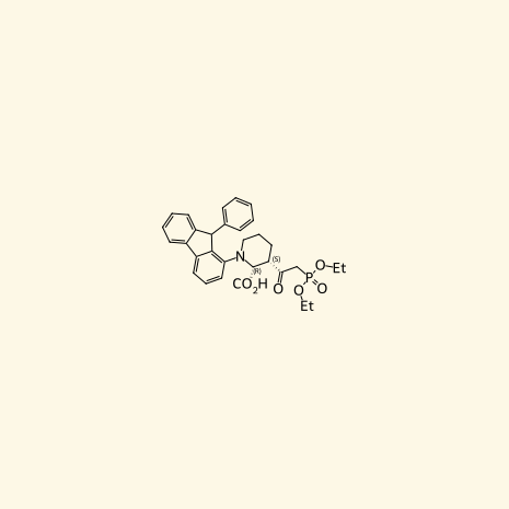 CCOP(=O)(CC(=O)[C@H]1CCCN(c2cccc3c2C(c2ccccc2)c2ccccc2-3)[C@H]1C(=O)O)OCC